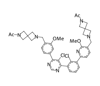 COc1cc(-c2ncnc(-c3cccc(-c4ccc(CN5CC6(C5)CN(C(C)=O)C6)c(OC)n4)c3Cl)c2Cl)ccc1CN1CC2(C1)CN(C(C)=O)C2